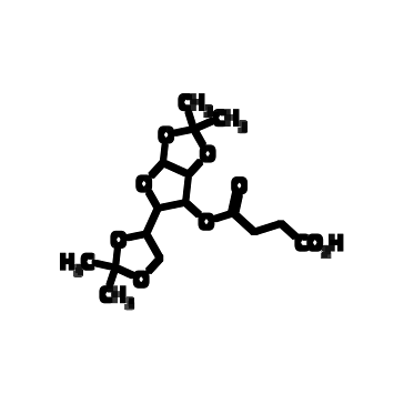 CC1(C)OCC(C2OC3OC(C)(C)OC3C2OC(=O)CCC(=O)O)O1